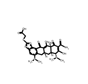 CN(C)c1cc2nc(SCC(=O)O)oc2c2c1C[C@H]1C[C@H]3[C@H](N(C)C)C(O)=C(C(N)=O)C(=O)[C@@]3(O)C(O)=C1C2=O